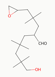 CC(C)(CC(C=O)CC(C)(C)CC(C)(C)CO)CC1CO1